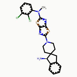 CN(c1nc2sc(N3CCC4(CC3)Cc3ccccc3[C@H]4N)nc2s1)c1cccc(Cl)c1Cl